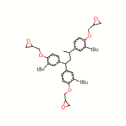 CC(CC(c1ccc(OCC2CO2)c(C(C)(C)C)c1)c1ccc(OCC2CO2)c(C(C)(C)C)c1)c1ccc(OCC2CO2)c(C(C)(C)C)c1